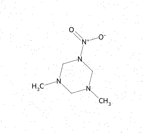 CN1CN(C)CN([N+](=O)[O-])C1